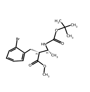 COC(=O)[C@H](Cc1ccccc1Br)[C@@H](C)NC(=O)OC(C)(C)C